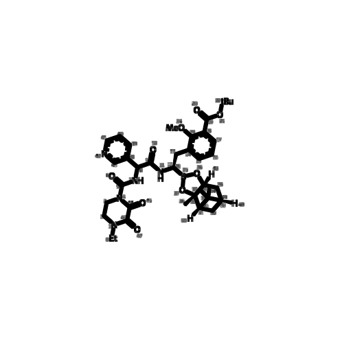 CCN1CCN(C(=O)NC(C(=O)N[C@@H](Cc2cccc(C(=O)OC(C)(C)C)c2OC)B2O[C@@H]3C[C@@H]4C[C@@H](C4(C)C)[C@]3(C)O2)c2cccnc2)C(=O)C1=O